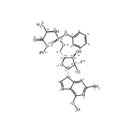 CCOc1nc(N)nc2c1ncn2[C@@H]1O[C@H](COP(=S)(NC(C)C(=O)OC(C)C)Oc2ccccc2)[C@@H](O)[C@@]1(F)Cl